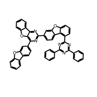 c1ccc(-c2nc(-c3ccccc3)nc(-c3cccc4oc5cc(-c6nc(-c7ccc8c(c7)oc7ccccc78)c7oc8ccccc8c7n6)ccc5c34)n2)cc1